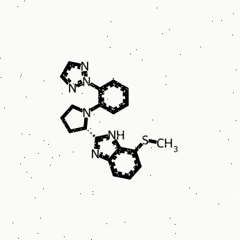 CSc1cccc2nc([C@@H]3CCCN3c3ccc[c]c3-n3nccn3)[nH]c12